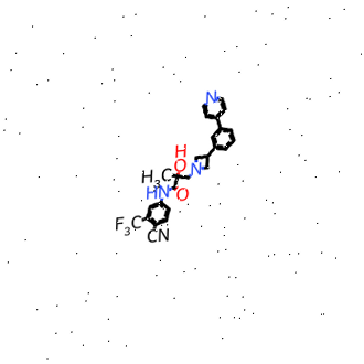 CC(O)(CN1CC(c2cccc(-c3ccncc3)c2)C1)C(=O)Nc1ccc(C#N)c(C(F)(F)F)c1